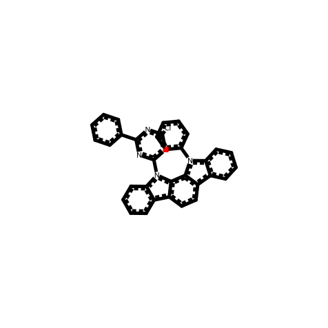 Clc1nc(-c2ccccc2)nc(-n2c3ccccc3c3ccc4c5ccccc5n(-c5ccccc5)c4c32)n1